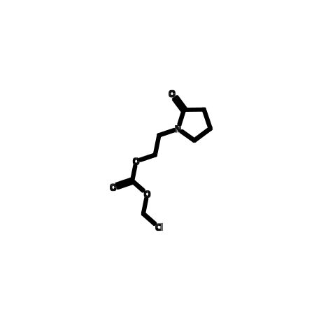 O=C(OCCl)OCCN1CCCC1=O